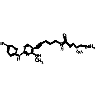 CNc1nc(Nc2ccc(F)cc2)ncc1C#CCCCNC(=O)CC[C@@H](O)CN